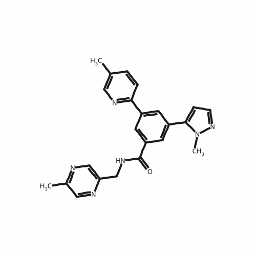 Cc1ccc(-c2cc(C(=O)NCc3cnc(C)cn3)cc(-c3ccnn3C)c2)nc1